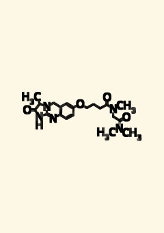 CC1C(=O)NC2=Nc3ccc(OCCCC(=O)N(C)CC(=O)N(C)C)cc3CN21